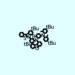 Cc1cc(C(C)(C)C)ccc1N(c1ccc2c(c1)N(c1cccc3oc4ccccc4c13)c1cc(C(C)(C)C)cc3c1B2c1cc(C(C)(C)C)cc2c4c5ccccc5sc4n-3c12)c1ccc(C(C)(C)C)cc1C